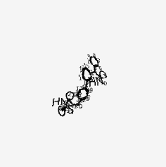 CNC(=O)C(c1ccccc1)c1cccc(-c2ccc(CC3SC(=O)NC3=O)cc2)c1